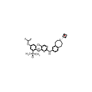 CP(C)(=O)c1cc(OC(F)F)ccc1Nc1nc(Nc2ccc3c(c2)CC[C@H](N2CC4CC2C4)CC3)ncc1Cl